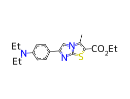 CCOC(=O)c1sc2nc(-c3ccc(N(CC)CC)cc3)cn2c1C